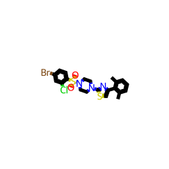 Cc1cccc(C)c1-c1csc(N2CCN(S(=O)(=O)c3ccc(Br)cc3Cl)CC2)n1